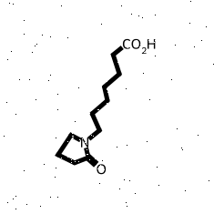 O=C(O)CCCCCCN1CCCC1=O